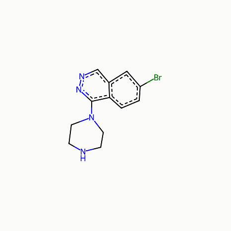 Brc1ccc2c(N3CCNCC3)nncc2c1